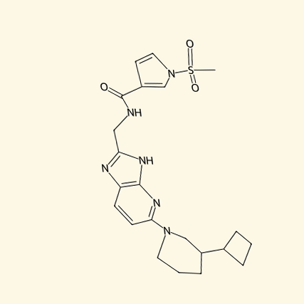 CS(=O)(=O)n1ccc(C(=O)NCc2nc3ccc(N4CCCC(C5CCC5)C4)nc3[nH]2)c1